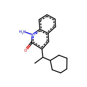 CC(c1cc2ccccc2n(N)c1=O)C1CCCCC1